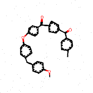 COc1ccc(Cc2ccc(Oc3ccc(C(=O)c4ccc(C(=O)c5ccc(C)cc5)cc4)cc3)cc2)cc1